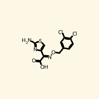 Nc1nc(/C(=N\OCc2ccc(Cl)c(Cl)c2)C(=O)O)cs1